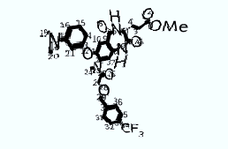 COC(=O)CC[C@H]1NC(=O)c2cc(Oc3cccc(N(C)C)c3)c(N(C)C(=O)COCc3ccc(C(F)(F)F)cc3)cc2NC1=O